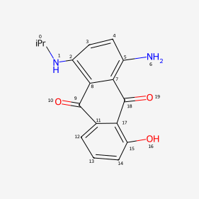 CC(C)Nc1ccc(N)c2c1C(=O)c1cccc(O)c1C2=O